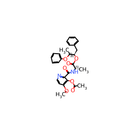 COc1ccnc(C(=O)N[C@@H](C)C(=O)O[C@H](Cc2ccccc2)[C@H](C)Oc2ccccc2)c1OC(C)=O